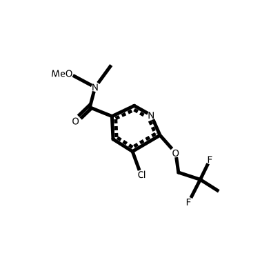 CON(C)C(=O)c1cnc(OCC(C)(F)F)c(Cl)c1